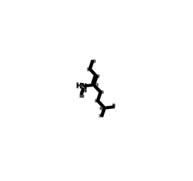 CC/C=C(/CCC(C)C)NC